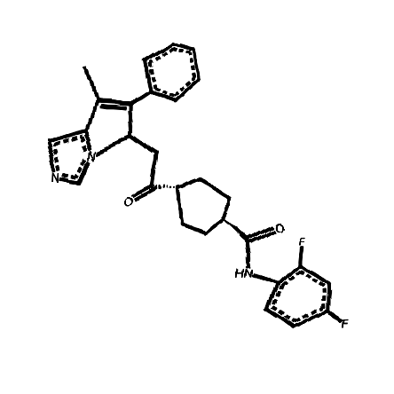 CC1=C(c2ccccc2)C(CC(=O)[C@H]2CC[C@H](C(=O)Nc3ccc(F)cc3F)CC2)n2cncc21